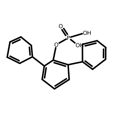 O=P(O)(O)Oc1c(-c2ccccc2)cccc1-c1ccccc1